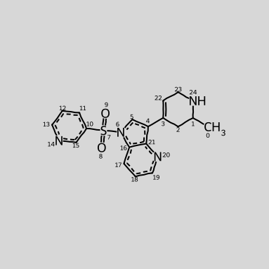 CC1CC(c2cn(S(=O)(=O)c3cccnc3)c3cccnc23)=CCN1